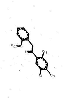 COc1ccccc1CC(=O)c1cc(Cl)c(O)cc1O